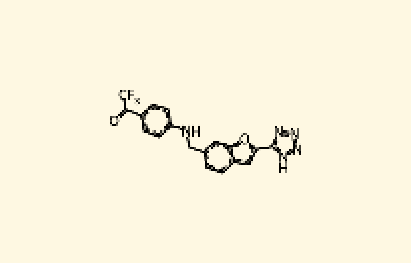 O=C(c1ccc(NCc2ccc3cc(-c4nnn[nH]4)oc3c2)cc1)C(F)(F)F